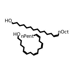 CCCCC/C=C\C/C=C\C/C=C\C/C=C\CCCCO.CCCCCCCC/C=C\CCCCCCCCCCCCO